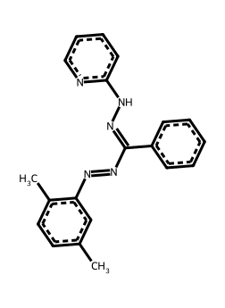 Cc1ccc(C)c(N=NC(=NNc2ccccn2)c2ccccc2)c1